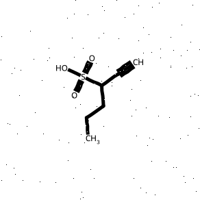 C#CC(CCC)S(=O)(=O)O